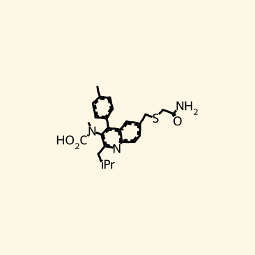 Cc1ccc(-c2c(N(C)C(=O)O)c(CC(C)C)nc3ccc(CSCC(N)=O)cc23)cc1